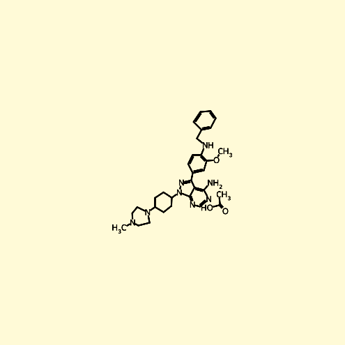 CC(=O)O.COc1cc(-c2nn(C3CCC(N4CCN(C)CC4)CC3)c3ncnc(N)c23)ccc1NCc1ccccc1